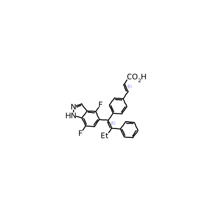 CC/C(=C(/c1ccc(/C=C/C(=O)O)cc1)c1cc(F)c2[nH]ncc2c1F)c1ccccc1